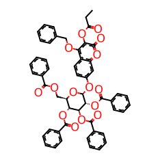 CCC(=O)Oc1c(OCc2ccccc2)c2ccc(O[C@@H]3O[C@H](COC(=O)c4ccccc4)[C@@H](OC(=O)c4ccccc4)[C@H](OC(=O)c4ccccc4)[C@H]3OC(=O)c3ccccc3)cc2oc1=O